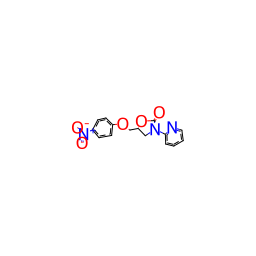 O=C1OC(COc2ccc([N+](=O)[O-])cc2)CN1c1ccccn1